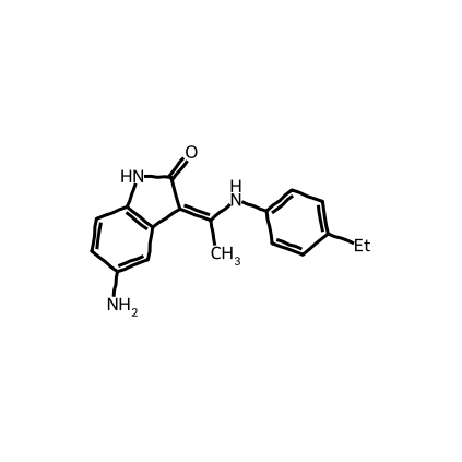 CCc1ccc(N/C(C)=C2\C(=O)Nc3ccc(N)cc32)cc1